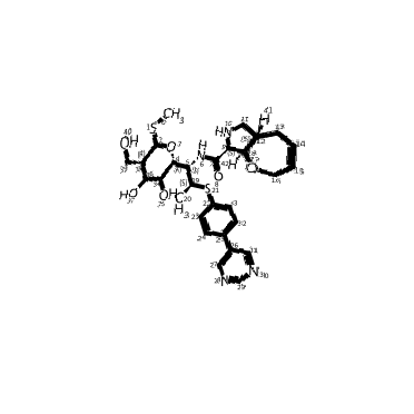 CSC1O[C@H]([C@H](NC(=O)[C@H]2NC[C@@H]3CC=CCO[C@H]32)[C@H](C)Sc2ccc(-c3cncnc3)cc2)C(O)C(O)[C@H]1CO